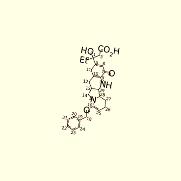 CCC(O)(CC(=O)O)C1=CC(=O)C2=C(C1)CC1CN3C(OCc4ccccc4)=CCCC3C1N2